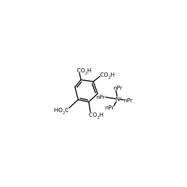 CCC[N+](CCC)(CCC)CCC.O=C(O)c1cc(C(=O)O)c(C(=O)O)cc1C(=O)O